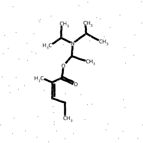 CCC=C(C)C(=O)OC(C)N(C(C)C)C(C)C